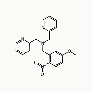 COc1ccc([N+](=O)[O-])c(CN(Cc2ccccn2)Cc2ccccn2)c1